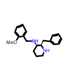 COc1ccccc1CN[C@@H]1CCCN[C@@H]1Cc1ccccc1